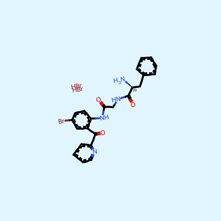 Br.Br.N[C@@H](Cc1ccccc1)C(=O)NCC(=O)Nc1ccc(Br)cc1C(=O)c1ccccn1